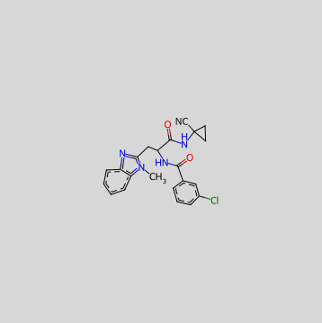 Cn1c(CC(NC(=O)c2cccc(Cl)c2)C(=O)NC2(C#N)CC2)nc2ccccc21